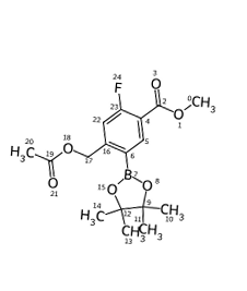 COC(=O)c1cc(B2OC(C)(C)C(C)(C)O2)c(COC(C)=O)cc1F